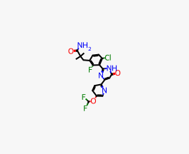 CC(C)(Cc1ccc(Cl)c(-c2nc(-c3ccc(OC(F)F)cn3)cc(=O)[nH]2)c1F)C(N)=O